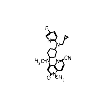 CN(c1cc(=O)n(C)c2ccc(C#N)nc12)C1CCC(N(CC2CC2)c2ccc(F)cn2)CC1